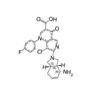 N[C@@H]1C=CC[C@@H]2CN(c3ncc4c(=O)c(C(=O)O)cn(-c5ccc(F)cc5)c4c3Cl)C[C@@H]21